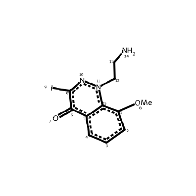 COc1cccc2c(=O)c(I)nn(CCN)c12